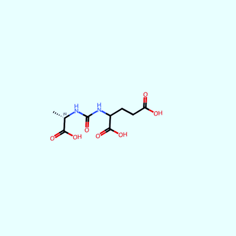 C[C@H](NC(=O)NC(CCC(=O)O)C(=O)O)C(=O)O